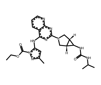 CCOC(=O)n1nc(C)cc1Nc1nc(N2C[C@@H]3C(NC(=O)NC(C)C)[C@@H]3C2)nc2ncccc12